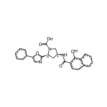 O=C(N[C@H]1C[C@@H](c2ncc(-c3ccccc3)o2)N(C(=O)O)C1)c1ccc2ccccc2c1O